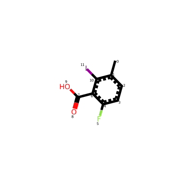 Cc1ccc(F)c(C(=O)O)c1I